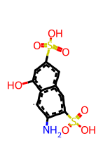 Nc1[c]c2c(O)cc(S(=O)(=O)O)cc2cc1S(=O)(=O)O